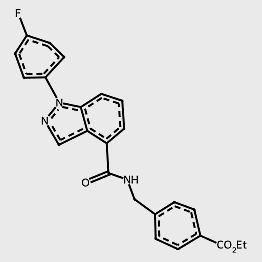 CCOC(=O)c1ccc(CNC(=O)c2cccc3c2cnn3-c2ccc(F)cc2)cc1